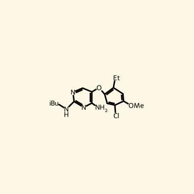 CCc1cc(OC)c(Cl)cc1Oc1cnc(NC(C)CC)nc1N